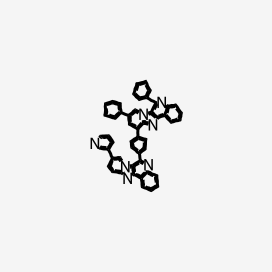 c1ccc(-c2cc(-c3ccc(-c4nc5ccccc5c5nc6ccc(-c7cccnc7)cn6c45)cc3)c3nc4c5ccccc5nc(-c5ccccc5)c4n3c2)cc1